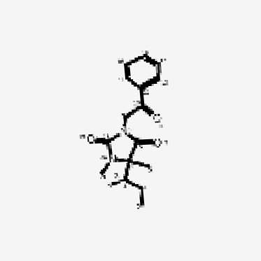 CC[C@@H](C)C1(C)C(=O)N(CC(=O)c2ccccc2)C(=O)N1C